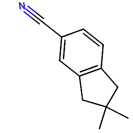 CC1(C)Cc2ccc(C#N)cc2C1